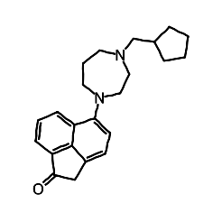 O=C1Cc2ccc(N3CCCN(CC4CCCC4)CC3)c3cccc1c23